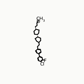 COCCC[C@H]1CC[C@H](C2CCC(CCc3ccc(-c4ccc(Cl)c(F)c4)cc3)CC2)CC1